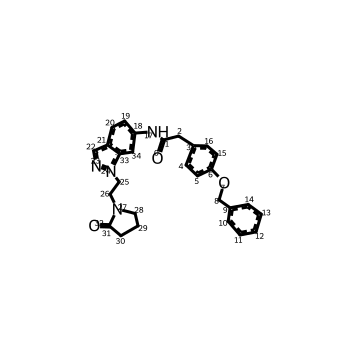 O=C(Cc1ccc(OCc2ccccc2)cc1)Nc1ccc2cnn(CCN3CCCC3=O)c2c1